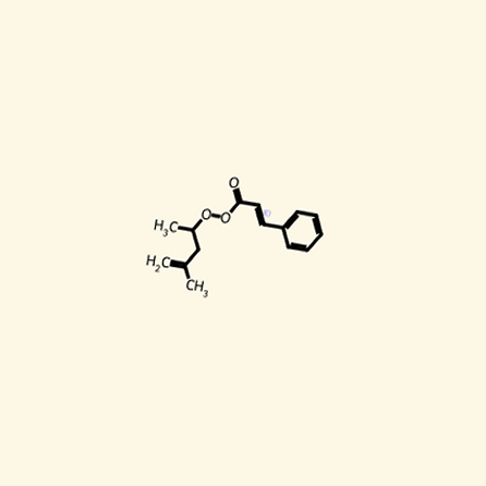 C=C(C)CC(C)OOC(=O)/C=C/c1ccccc1